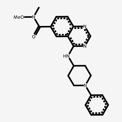 CON(C)C(=O)c1ccc2ncnc(NC3CCN(c4ccccc4)CC3)c2c1